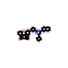 c1ccc(-c2cc(-c3ccc4ccccc4c3)nc(-c3cccc(-c4ccc5c(c4)Oc4ccccc4C54c5ccccc5-c5ccccc54)c3)n2)cc1